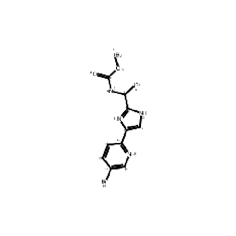 CC(C)C(NC(=O)OC(C)(C)C)c1nc(-c2ccc(Br)cn2)c[nH]1